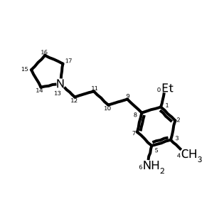 CCc1cc(C)c(N)cc1CCCCN1CCCC1